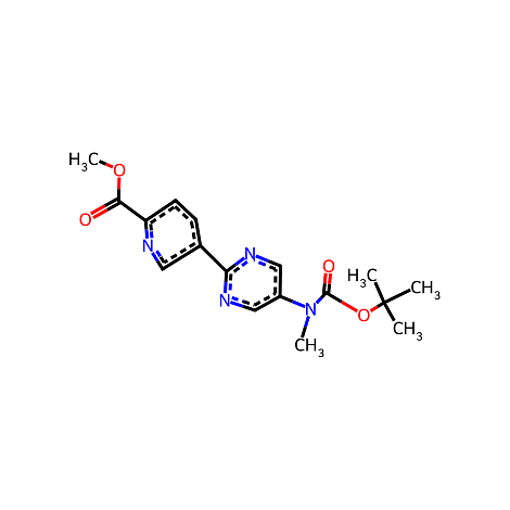 COC(=O)c1ccc(-c2ncc(N(C)C(=O)OC(C)(C)C)cn2)cn1